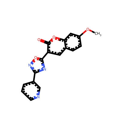 COc1ccc2cc(-c3nc(-c4cccnc4)no3)c(=O)oc2c1